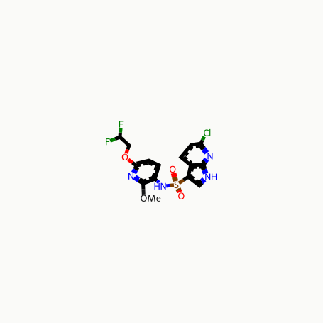 COc1nc(OCC(F)F)ccc1NS(=O)(=O)c1c[nH]c2nc(Cl)ccc12